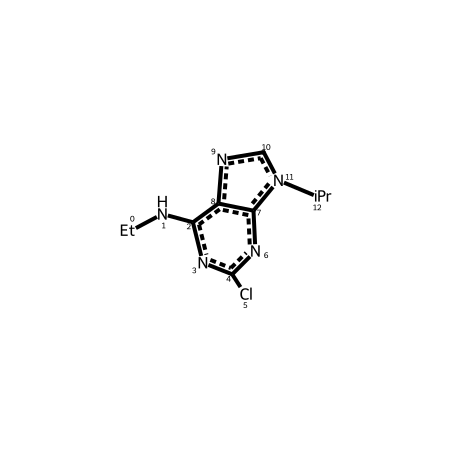 CCNc1nc(Cl)nc2c1ncn2C(C)C